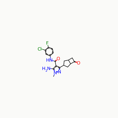 Cn1nc(C2CC3CC(=O)C3C2)c(C(=O)Nc2ccc(F)c(Cl)c2)c1N